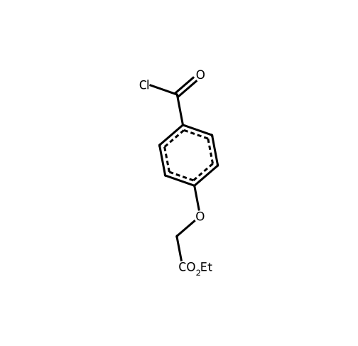 CCOC(=O)COc1ccc(C(=O)Cl)cc1